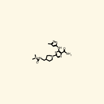 Cc1cc(Nc2nc(N3CCC(CNC(=O)N(C)C)CC3)cnc2C(N)=O)sn1